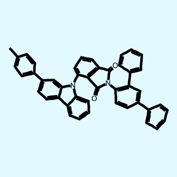 Cc1ccc(-c2ccc3c4ccccc4n(-c4cccc5c4C(=O)N(c4ccc(-c6ccccc6)cc4-c4ccccc4)C5=O)c3c2)cc1